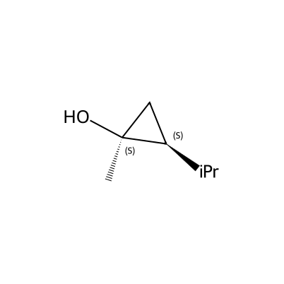 CC(C)[C@@H]1C[C@]1(C)O